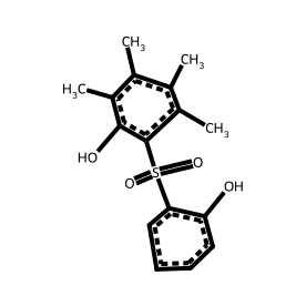 Cc1c(C)c(C)c(S(=O)(=O)c2ccccc2O)c(O)c1C